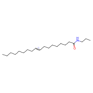 CCCCCCCC/C=C/CCCCCCCC(=O)NCCC